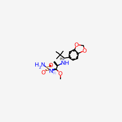 C=C(N[C@@H](c1ccc2c(c1)OCO2)C(C)(C)C)/C(=N\S(N)(=O)=O)OC